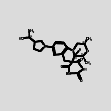 C[C@@H]1CN2c3ccc(N4CCC([C@H](N)O)C4)cc3CC3(C(=O)NC(=O)NC3=O)[C@H]2[C@H](C)O1